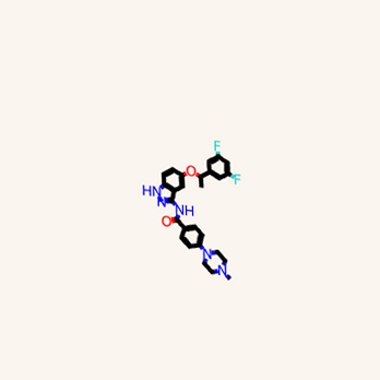 CC(Oc1ccc2[nH]nc(NC(=O)c3ccc(N4CCN(C)CC4)cc3)c2c1)c1cc(F)cc(F)c1